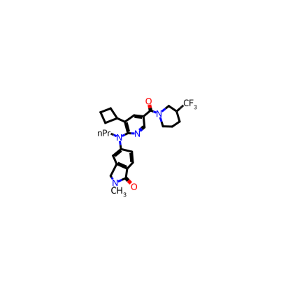 CCCN(c1ccc2c(c1)CN(C)C2=O)c1ncc(C(=O)N2CCCC(C(F)(F)F)C2)cc1C1CCC1